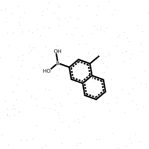 Cc1cc(B(O)O)cc2ccccc12